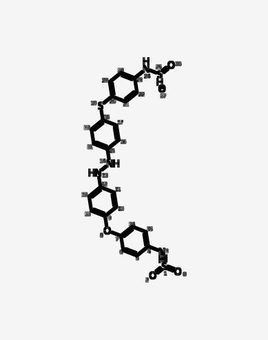 O=[SH](=O)Nc1ccc(Oc2ccc(NNc3ccc(Sc4ccc(N[SH](=O)=O)cc4)cc3)cc2)cc1